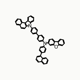 c1ccc2c(-c3ccc(N(c4ccc(-c5ccc(-n6c7ccccc7c7c8ccccc8ccc76)cc5)cc4)c4ccc5c(c4)oc4ccccc45)cc3)cccc2c1